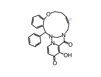 O=C1c2c(O)c(=O)ccn2N2CN1C/C=C\CCOc1ccccc1C2c1ccccc1